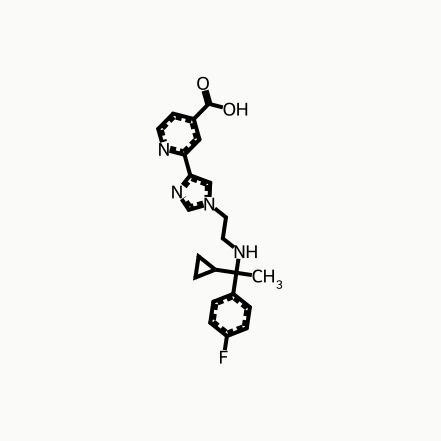 CC(NCCn1cnc(-c2cc(C(=O)O)ccn2)c1)(c1ccc(F)cc1)C1CC1